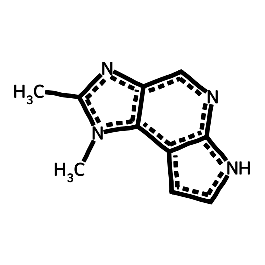 Cc1nc2cnc3[nH]ccc3c2n1C